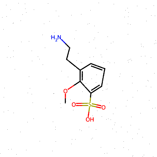 COc1c(CCN)cccc1S(=O)(=O)O